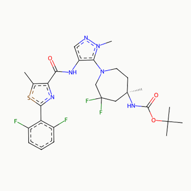 Cc1sc(-c2c(F)cccc2F)nc1C(=O)Nc1cnn(C)c1N1CC[C@@](C)(NC(=O)OC(C)(C)C)CC(F)(F)C1